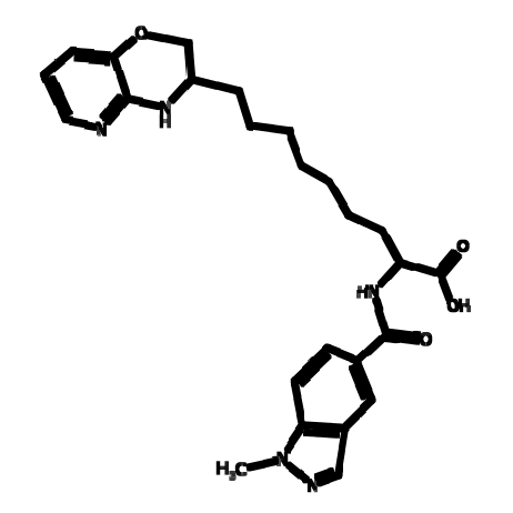 Cn1ncc2cc(C(=O)NC(CCCCCCCC3COc4cccnc4N3)C(=O)O)ccc21